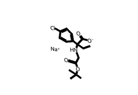 CCC(NCC(=O)OC(C)(C)C)(C(=O)[O-])c1ccc(Cl)cc1.[Na+]